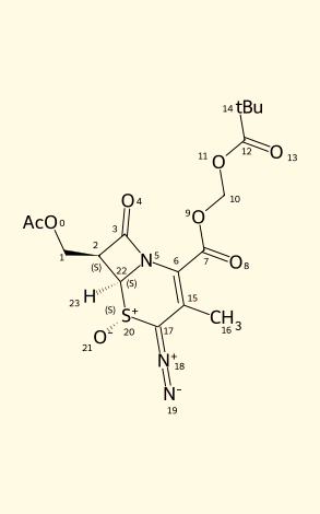 CC(=O)OC[C@H]1C(=O)N2C(C(=O)OCOC(=O)C(C)(C)C)=C(C)C(=[N+]=[N-])[S@+]([O-])[C@@H]12